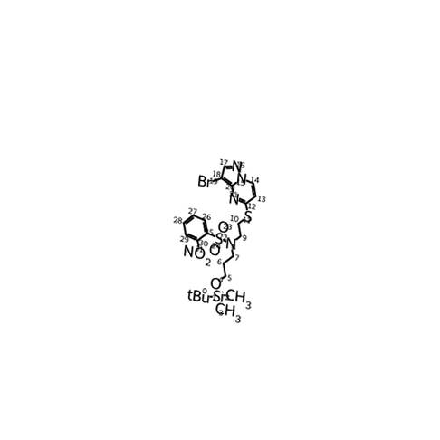 CC(C)(C)[Si](C)(C)OCCCN(CCSc1ccn2ncc(Br)c2n1)S(=O)(=O)c1ccccc1[N+](=O)[O-]